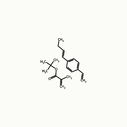 C=C(C)C(=O)OC(C)(C)C.C=Cc1ccc(C=CCC)cc1